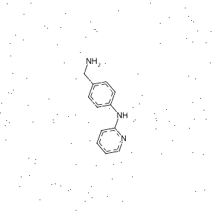 NCc1ccc(Nc2ccccn2)cc1